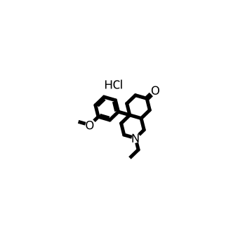 CCN1CCC2(c3cccc(OC)c3)CCC(=O)CC2C1.Cl